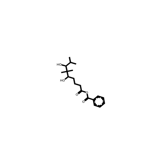 CC(C)C(O)C(C)(C)C(O)CCCC(=O)OC(=O)c1ccccc1